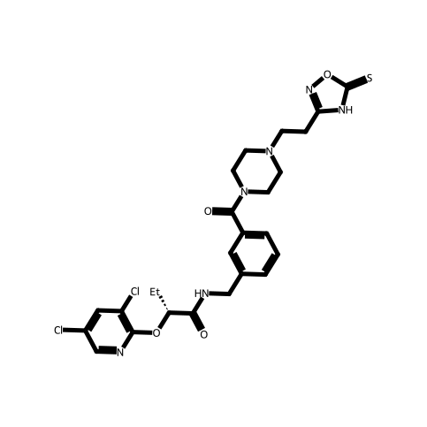 CC[C@@H](Oc1ncc(Cl)cc1Cl)C(=O)NCc1cccc(C(=O)N2CCN(CCc3noc(=S)[nH]3)CC2)c1